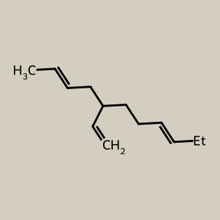 C=CC(C/C=C/C)CC/C=C/CC